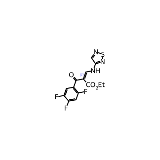 CCOC(=O)/C(=C\Nc1cnsn1)C(=O)c1cc(F)c(F)cc1F